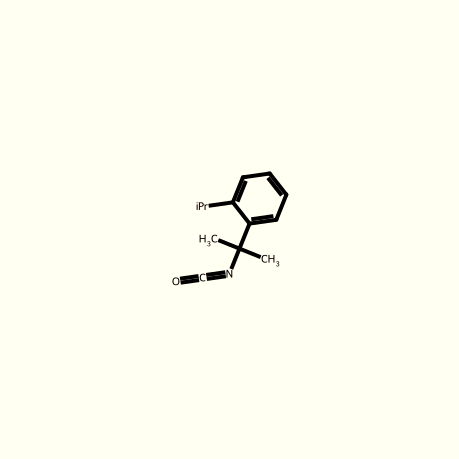 CC(C)c1ccccc1C(C)(C)N=C=O